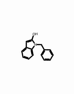 Oc1cc2ccccc2n1Cc1ccccc1